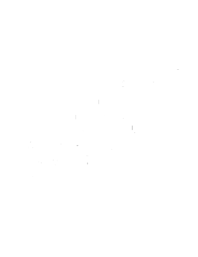 C=C(C)C(=O)OCC(F)C(F)C(F)C(F)C(F)C(F)CCCF